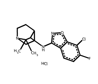 CC1(C)C(Nc2noc3c(Cl)c(F)ccc23)C2CCN1CC2.Cl